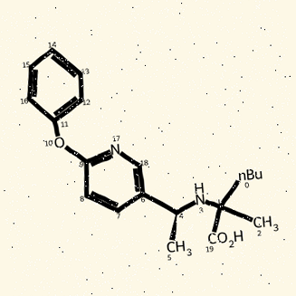 CCCCC(C)(N[C@@H](C)c1ccc(Oc2ccccc2)nc1)C(=O)O